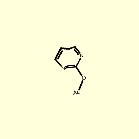 CC(=O)Oc1ncccn1